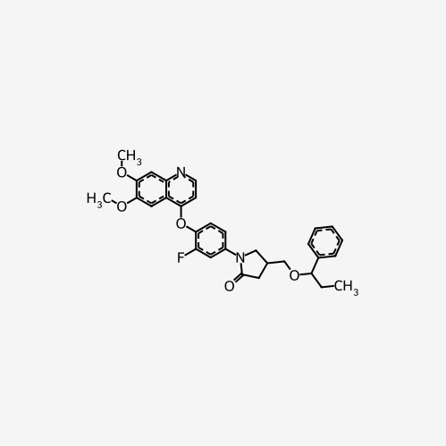 CCC(OCC1CC(=O)N(c2ccc(Oc3ccnc4cc(OC)c(OC)cc34)c(F)c2)C1)c1ccccc1